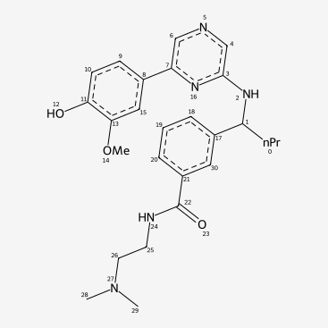 CCCC(Nc1cncc(-c2ccc(O)c(OC)c2)n1)c1cccc(C(=O)NCCN(C)C)c1